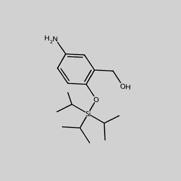 CC(C)[Si](Oc1ccc(N)cc1CO)(C(C)C)C(C)C